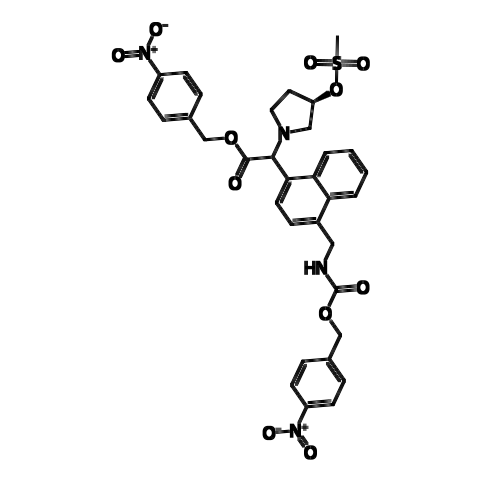 CS(=O)(=O)O[C@@H]1CCN(C(C(=O)OCc2ccc([N+](=O)[O-])cc2)c2ccc(CNC(=O)OCc3ccc([N+](=O)[O-])cc3)c3ccccc23)C1